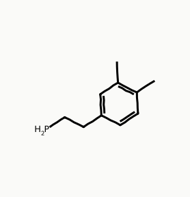 Cc1ccc(CCP)cc1C